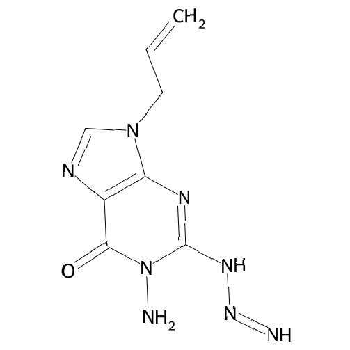 C=CCn1cnc2c(=O)n(N)c(NN=N)nc21